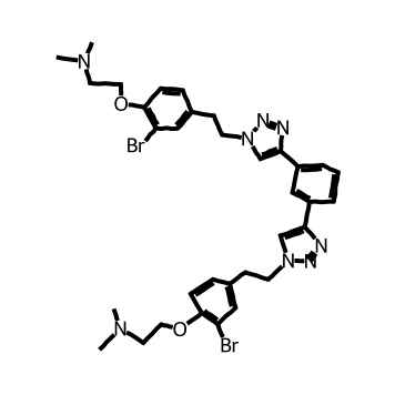 CN(C)CCOc1ccc(CCn2cc(-c3cccc(-c4cn(CCc5ccc(OCCN(C)C)c(Br)c5)nn4)c3)nn2)cc1Br